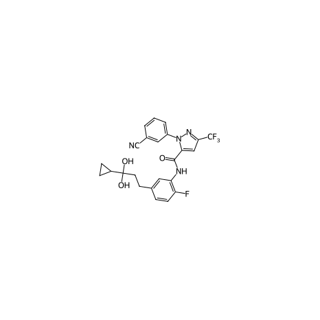 N#Cc1cccc(-n2nc(C(F)(F)F)cc2C(=O)Nc2cc(CCC(O)(O)C3CC3)ccc2F)c1